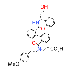 COc1ccc(CCN(CCC(=O)O)C(=O)c2ccccc2-c2ccccc2C(=O)NC(CCO)c2ccccc2)cc1